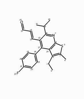 CCc1c(C)sc2nc(C(C)C)c(/C=C/C=O)c(-c3ccc(F)cc3)c12